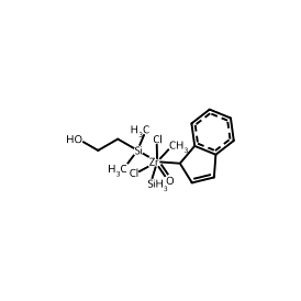 C[Si](C)(CCO)[Zr]([CH3])(=[O])([SiH3])([Cl])([Cl])[CH]1C=Cc2ccccc21